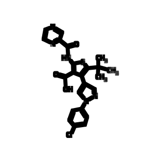 CC(C)(C)c1sc(NC(=O)c2cnccn2)c(C(=O)O)c1-c1cnn(-c2ccc(Cl)cc2)c1